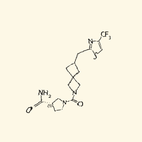 NC(=O)[C@H]1CCN(C(=O)N2CC3(CC(Cc4nc(C(F)(F)F)cs4)C3)C2)C1